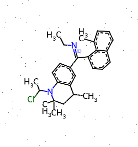 CC/N=C(\c1ccc2c(c1)C(C)CC(C)(C)N2C(C)Cl)c1cccc2cccc(C)c12